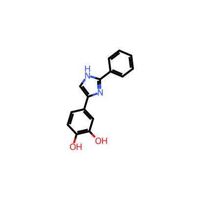 Oc1ccc(-c2c[nH]c(-c3ccccc3)n2)cc1O